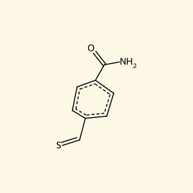 NC(=O)c1ccc(C=S)cc1